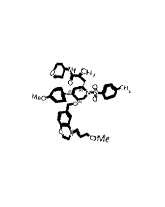 COCCCN1CCOc2ccc(CO[C@H]3CN(S(=O)(=O)c4ccc(C)cc4)[C@@H](CC(C)C(=O)NC4CCOCC4)C[C@@H]3c3ccc(OC)cc3)cc21